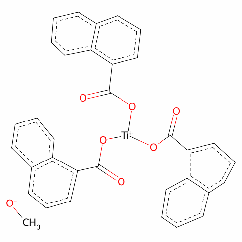 C[O-].O=C([O][Ti+]([O]C(=O)c1cccc2ccccc12)[O]C(=O)c1cccc2ccccc12)c1cccc2ccccc12